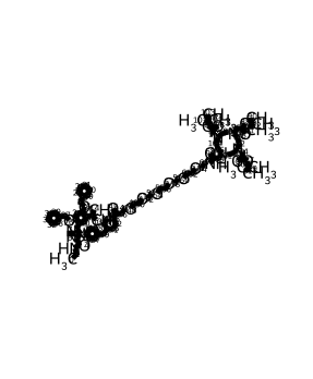 CCNC(=O)c1nnc(-c2cc(C(C)C)c(OCc3ccccc3)cc2OCc2ccccc2)n1-c1ccc(CC2CCN(C(=O)CCOCCOCCOCCOCCOCCOCCNC(=O)CN3CCN(CC(=O)OC(C)(C)C)CCN(CC(=O)OC(C)(C)C)CCN(CC(=O)OC(C)(C)C)CC3)CC2)cc1